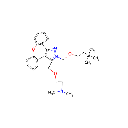 CN(C)CCOCc1c2c(nn1COCC[Si](C)(C)C)-c1ccccc1Oc1ccccc1-2